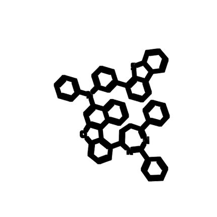 C1=CC2Sc3c(-c4cccc(N(c5ccccc5)c5cc6oc7cccc(C8=CCC(c9ccccc9)=NC(c9ccccc9)=N8)c7c6c6ccccc56)c4)cccc3C2C=C1